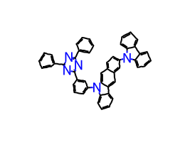 c1ccc(-c2nc(-c3ccccc3)nc(-c3cccc(-n4c5ccccc5c5cc6cc(-n7c8ccccc8c8ccccc87)ccc6cc54)c3)n2)cc1